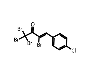 O=C(/C(Br)=C/c1ccc(Cl)cc1)C(Br)(Br)Br